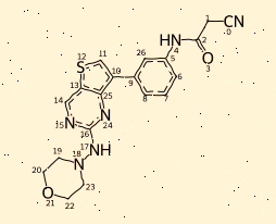 N#CCC(=O)Nc1cccc(-c2csc3cnc(NN4CCOCC4)nc23)c1